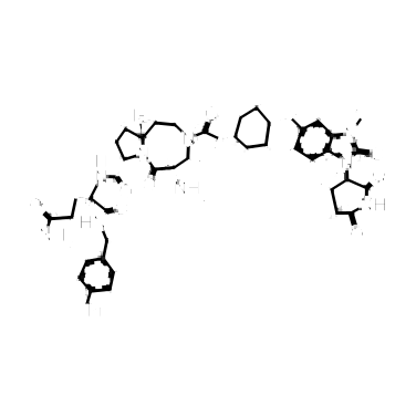 CC(C)c1ccc(CNC(=O)[C@H](CCC(N)=O)NC(=O)[C@@H]2CC[C@@H]3CCN(C(=O)C[C@H]4CC[C@@H](Cc5ccc6c(c5)n(C)c(=O)n6C5CCC(=O)NC5=O)CC4)C[C@H](N)C(=O)N32)cc1